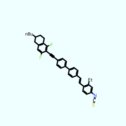 CCCCC1CCc2c(cc(F)c(C#Cc3ccc(-c4ccc(/C=C/c5ccc(N=C=S)cc5CC)cc4)cc3)c2F)C1